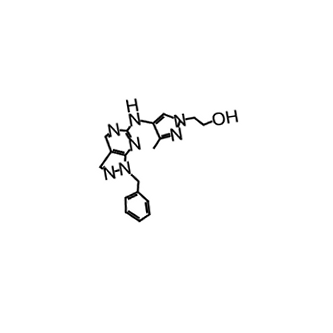 Cc1nn(CCO)cc1Nc1ncc2cnn(Cc3ccccc3)c2n1